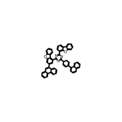 C1=CC(c2nc(-c3cccc4c3oc3ccccc34)nc(-c3cc(-c4cc5ccccc5c5ccccc45)cc4oc5ccccc5c34)n2)CC=C1c1cccc2ccccc12